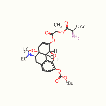 CCN(C)[C@@H]1Cc2ccc(OC(=O)OC(C)(C)C)c3c2[C@@]2(C)[C@@H](O3)C(OC(=O)[C@H](C)OC(=O)[C@H](P)OC(C)=O)=CC[C@@]12O